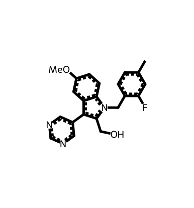 COc1ccc2c(c1)c(-c1cncnc1)c(CO)n2Cc1ccc(C)cc1F